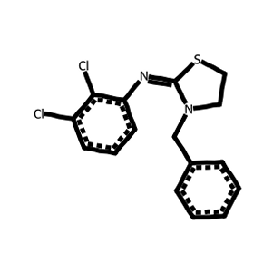 Clc1cccc(N=C2SCCN2Cc2ccccc2)c1Cl